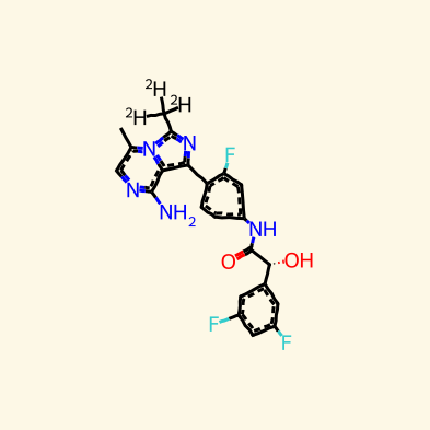 [2H]C([2H])([2H])c1nc(-c2ccc(NC(=O)[C@H](O)c3cc(F)cc(F)c3)cc2F)c2c(N)ncc(C)n12